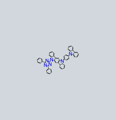 C1=CC2c3cc4c(cc3N(c3ccc(-n5c6ccccc6c6ccccc65)cc3)C2C=C1)c1ccccc1n4-c1nc(-c2ccccc2)nc(-c2ccccc2)n1